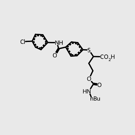 CCCCNC(=O)OCCC(Sc1ccc(C(=O)Nc2ccc(Cl)cc2)cc1)C(=O)O